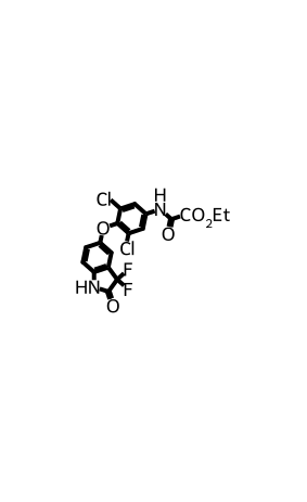 CCOC(=O)C(=O)Nc1cc(Cl)c(Oc2ccc3c(c2)C(F)(F)C(=O)N3)c(Cl)c1